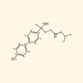 CC(C)CNCCC(C)(O)c1ccc(-c2ccc(Cl)cc2)cc1